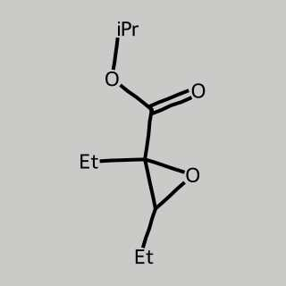 CCC1OC1(CC)C(=O)OC(C)C